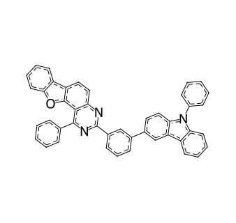 c1ccc(-c2nc(-c3cccc(-c4ccc5c(c4)c4ccccc4n5-c4ccccc4)c3)nc3ccc4c5ccccc5oc4c23)cc1